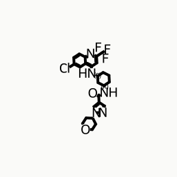 O=C(N[C@@H]1CCC[C@H](Nc2cc(C(F)(F)F)nc3ccc(Cl)cc23)C1)c1cnn(C2CCOCC2)c1